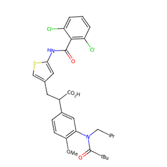 COc1ccc(C(Cc2csc(NC(=O)c3c(Cl)cccc3Cl)c2)C(=O)O)cc1N(CC(C)C)C(=O)C(C)(C)C